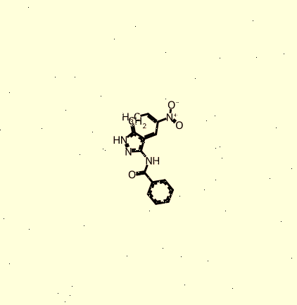 C=c1[nH]nc(NC(=O)c2ccccc2)/c1=C/C(=C\C)[N+](=O)[O-]